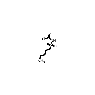 CCCCCS(=O)(=O)NC(=S)Cl